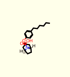 CCCCCCc1ccc(OC2C[C@H]3CC[C@@H](C2)N3C(=O)O)cc1